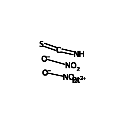 N=C=S.O=[N+]([O-])[O-].O=[N+]([O-])[O-].[Pt+2]